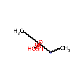 CCCCCCCC/C=C\CCCCCCCC(OC(=O)C(O)CO)C(=O)CCCCCCCCCCCCCCC